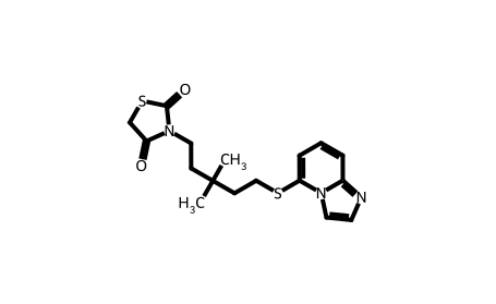 CC(C)(CCSc1cccc2nccn12)CCN1C(=O)CSC1=O